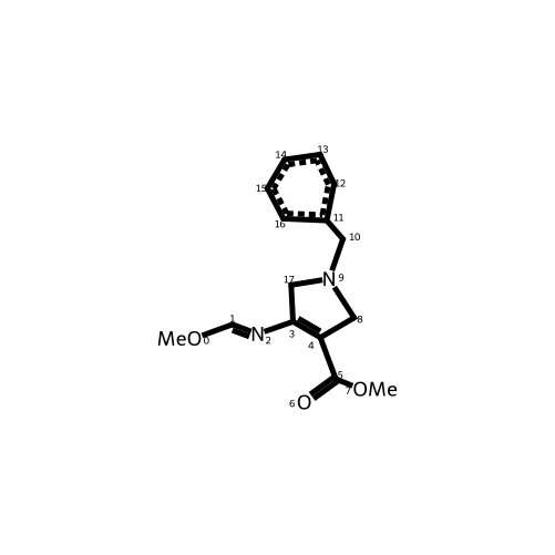 COC=NC1=C(C(=O)OC)CN(Cc2ccccc2)C1